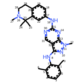 Cc1cccc(C)c1Nc1nn(C)c2nc(Nc3ccc4c(c3)C(C)(C)N(C)CC4)ncc12